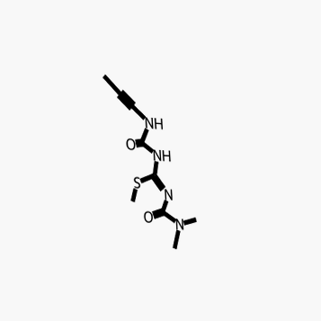 CC#CNC(=O)NC(=NC(=O)N(C)C)SC